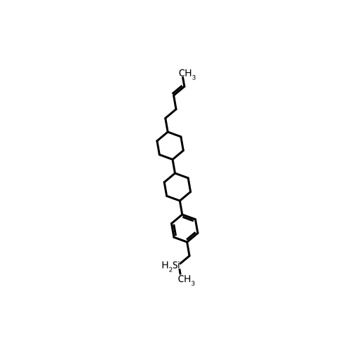 CC=CCCC1CCC(C2CCC(c3ccc(C[SiH2]C)cc3)CC2)CC1